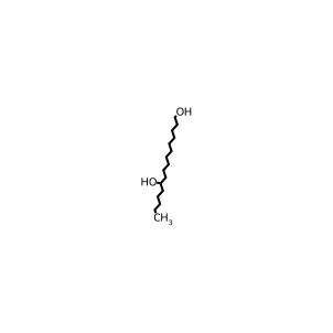 CCCCCC(O)CCCCCCCCCCO